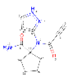 C#CC(=O)N(c1cc[nH]n1)C1(C(N)=O)CCCC1